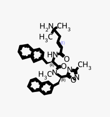 Cc1noc([C@@H](Cc2ccc3ccccc3c2)N(C)C(=O)[C@@H](Cc2ccc3ccccc3c2)NC(=O)/C=C/CC(C)(C)N)n1